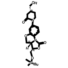 CC(C)(C)[Si](C)(C)OC[C@@H]1OC(=O)N2c3ccc(N4CC[C@@H](CO)CC4=O)cc3OC[C@@H]12